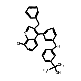 CC(C)(O)c1cccc(Nc2cccc(-c3c(Cc4ccccc4)cnc4c(Cl)cccc34)c2)c1